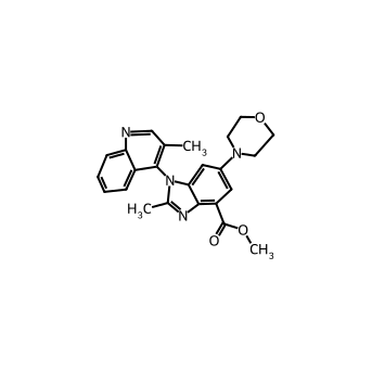 COC(=O)c1cc(N2CCOCC2)cc2c1nc(C)n2-c1c(C)cnc2ccccc12